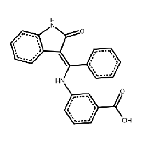 O=C1Nc2ccccc2C1=C(Nc1cccc(C(=O)O)c1)c1ccccc1